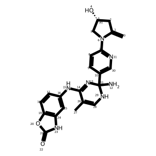 C=C1C[C@@H](O)CN1c1ccc(C2(N)N=C(Nc3ccc4oc(=O)[nH]c4c3)C(C)=CN2)cn1